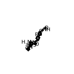 Nc1nc2c(sc(=O)n2CCN2CCN(c3ccc(OCCNC=O)cc3F)CC2)c2nc(-c3ccco3)nn12